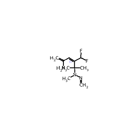 C=NN(C)C(C)(C)/C(=C\C(=C)N)C(F)F